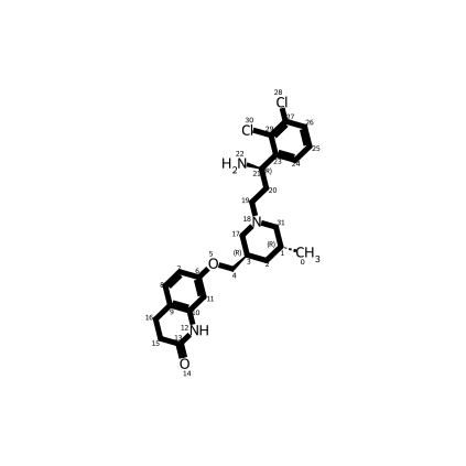 C[C@@H]1C[C@@H](COc2ccc3c(c2)NC(=O)CC3)CN(CC[C@@H](N)c2cccc(Cl)c2Cl)C1